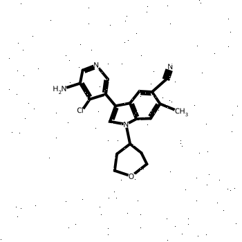 Cc1cc2c(cc1C#N)c(-c1cncc(N)c1Cl)cn2C1CCOCC1